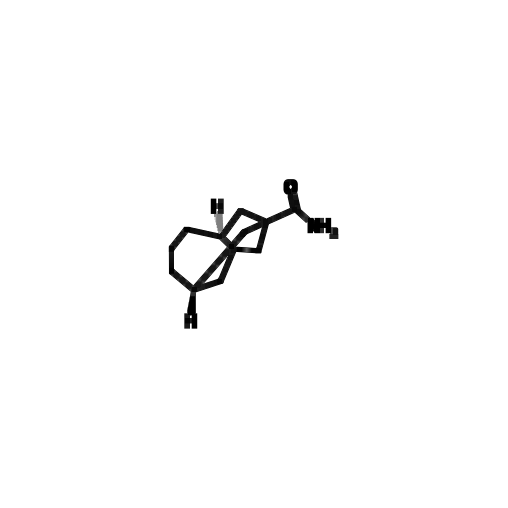 NC(=O)C12CC3C[C@H](CCC[C@H]3C1)C2